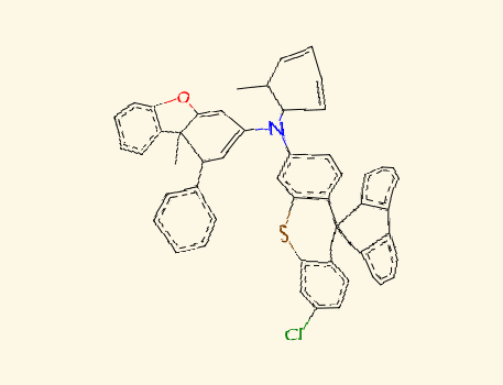 CC1C=CC=CC1N(C1=CC(c2ccccc2)C2(C)C(=C1)Oc1ccccc12)c1ccc2c(c1)Sc1cc(Cl)ccc1C21c2ccccc2-c2ccccc21